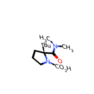 CN(C)C(=O)[C@@]1(C(C)(C)C)CCCN1C(=O)O